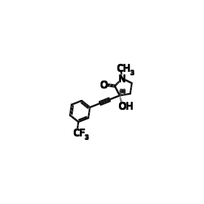 CN1CC[C@@](O)(C#Cc2cccc(C(F)(F)F)c2)C1=O